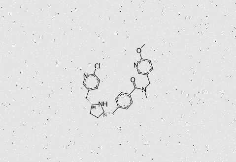 COc1ccc(CN(C)C(=O)c2ccc(C[C@@H]3CC[C@H](Cc4ccc(Cl)nc4)N3)cc2)cn1